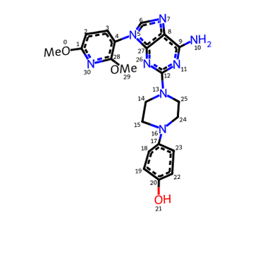 COc1ccc(-n2cnc3c(N)nc(N4CCN(c5ccc(O)cc5)CC4)nc32)c(OC)n1